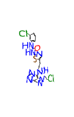 O=C(Nc1cccc(Cl)c1)Nc1ncc(CCNc2ncnc3cnn(CCCl)c23)s1